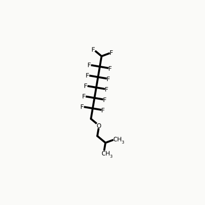 CC(C)COCC(F)(F)C(F)(F)C(F)(F)C(F)(F)C(F)(F)C(F)F